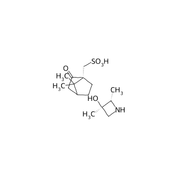 CC1(C)C2CC[C@]1(CS(=O)(=O)O)C(=O)C2.C[C@@H]1NC[C@@]1(C)O